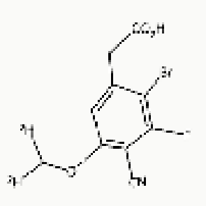 [2H]C([2H])Oc1cc(CC(=O)O)c(Br)c(F)c1C#N